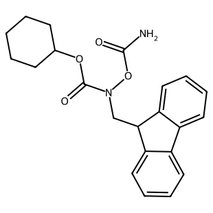 NC(=O)ON(CC1c2ccccc2-c2ccccc21)C(=O)OC1CCCCC1